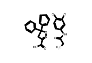 CCC(=O)Nc1ccc(Cl)c(Cl)c1.O=C(O)C1=NOC(c2ccccc2)(c2ccccc2)C1